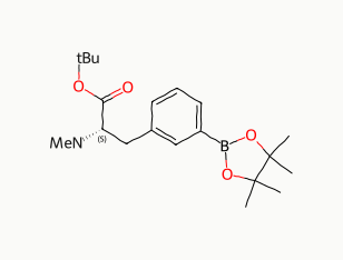 CN[C@@H](Cc1cccc(B2OC(C)(C)C(C)(C)O2)c1)C(=O)OC(C)(C)C